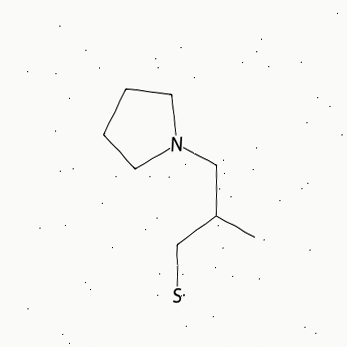 CC(C[S])CN1CCCC1